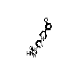 COc1cccc(C2CCN(c3ccc(-n4cn[nH]c4=O)cn3)CC2)c1